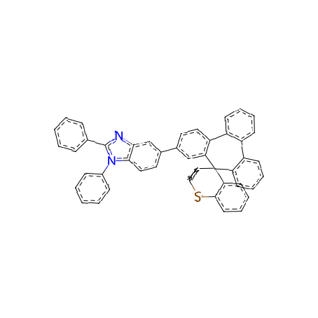 c1ccc(-c2nc3cc(-c4ccc5c(c4)C4(c6ccccc6Sc6ccccc64)c4ccccc4-c4ccccc4-5)ccc3n2-c2ccccc2)cc1